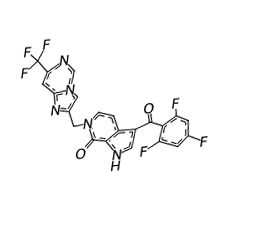 O=C(c1c(F)cc(F)cc1F)c1c[nH]c2c(=O)n(Cc3cn4cnc(C(F)(F)F)cc4n3)ccc12